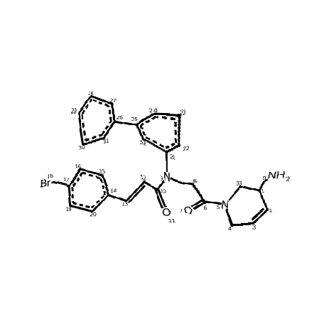 NC1C=CCN(C(=O)CN(C(=O)/C=C/c2ccc(Br)cc2)c2cccc(-c3ccccc3)c2)C1